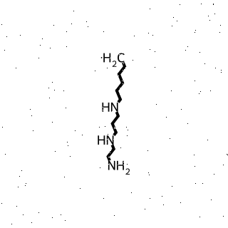 [CH2]CCCCCNCCCNCCN